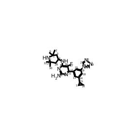 CC1(C)CC(Nc2nc(N)nc(-c3cc(C4CC4)cc(-n4cnnn4)c3)c2F)CC(C)(C)N1